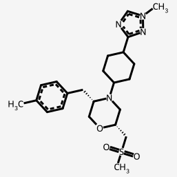 Cc1ccc(C[C@H]2CO[C@@H](CS(C)(=O)=O)CN2C2CCC(c3ncn(C)n3)CC2)cc1